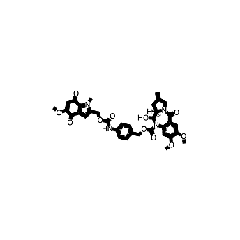 C=C1C[C@H]2C(O)N(C(=O)OCc3ccc(NC(=O)OCc4cc5c(n4C)C(=O)C=C(OC)C5=O)cc3)c3cc(OC)c(OC)cc3C(=O)N2C1